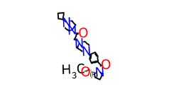 COC[C@H]1CCCN1C(=O)c1ccc(N2CCN(CC(=O)N3CCN(C4CCC4)CC3)CC2)cc1